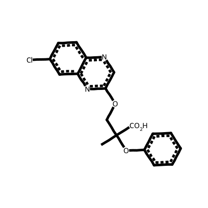 CC(COc1cnc2ccc(Cl)cc2n1)(Oc1ccccc1)C(=O)O